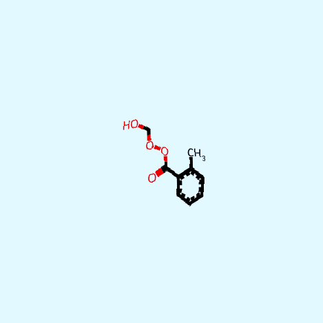 Cc1ccccc1C(=O)OOCO